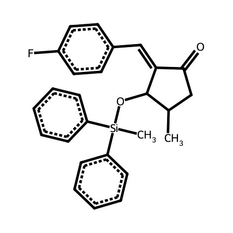 CC1CC(=O)C(=Cc2ccc(F)cc2)C1O[Si](C)(c1ccccc1)c1ccccc1